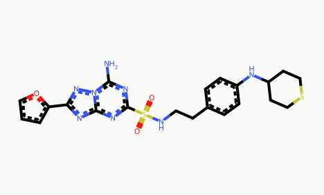 Nc1nc(S(=O)(=O)NCCc2ccc(NC3CCSCC3)cc2)nc2nc(-c3ccco3)nn12